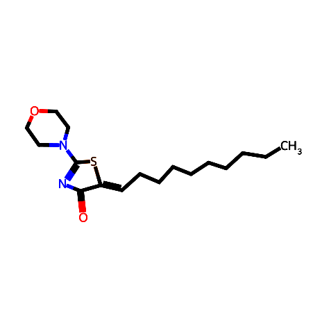 CCCCCCCCC/C=C1\SC(N2CCOCC2)=NC1=O